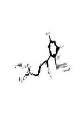 CN(C)/C=C/C(=O)c1cc(Br)ccc1F